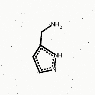 NCc1c[c]n[nH]1